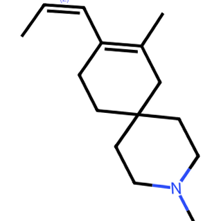 C/C=C\C1=C(C)CC2(CC1)CCN(C)CC2